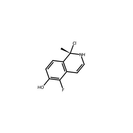 C[C@@]1(Cl)NC=Cc2c1ccc(O)c2F